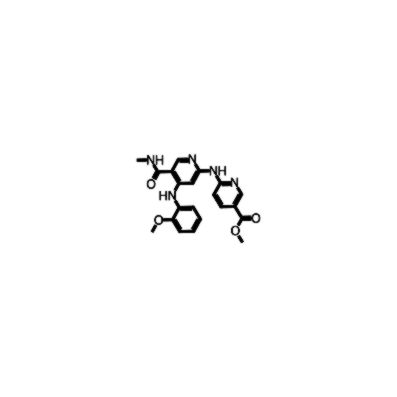 CNC(=O)c1cnc(Nc2ccc(C(=O)OC)cn2)cc1Nc1ccccc1OC